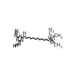 CCO[Si](CCCCCCCCCCCNc1nc(N=[N+]=[N-])nc(N=[N+]=[N-])n1)(OCC)OCC